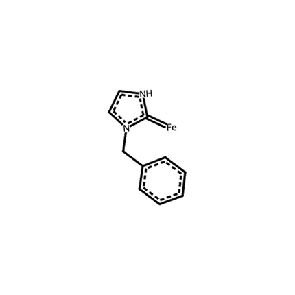 [Fe]=[c]1[nH]ccn1Cc1ccccc1